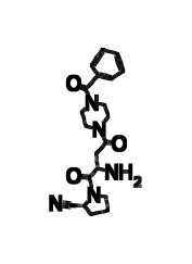 N#C[C@@H]1CCCN1C(=O)C(N)CC(=O)N1CCN(C(=O)c2ccccc2)CC1